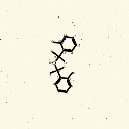 Cc1ccccc1C(C)(C)OC(C)(C)c1ccccc1C